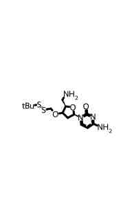 CC(C)(C)SSCOC1C[C@H](n2ccc(N)nc2=O)O[C@@H]1CN